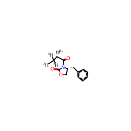 [2H]C([2H])([2H])[C@H](CCC)C(=O)N1C(=O)OC[C@H]1Cc1ccccc1